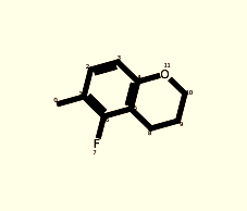 Cc1ccc2c(c1F)CCCO2